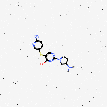 CN(C)C1CCN(c2ncc(Sc3ccc(N)nc3)c(O)n2)C1